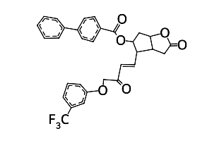 O=C(C=CC1C(OC(=O)c2ccc(-c3ccccc3)cc2)CC2OC(=O)CC21)COc1cccc(C(F)(F)F)c1